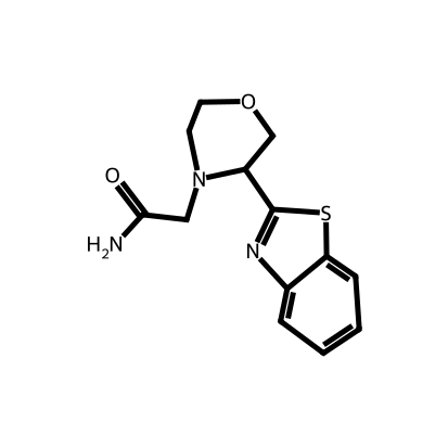 NC(=O)CN1CCOCC1c1nc2ccccc2s1